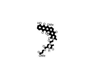 COC(=O)CCOC(=O)C1CN(C(=O)Cn2c(C)cc3c(=O)c4ccc5c(OC)c6c(=O)c7c(O)cccc7c(=O)c6c(O)c5c4c(=O)c3c2=O)C(C)C(=O)N1